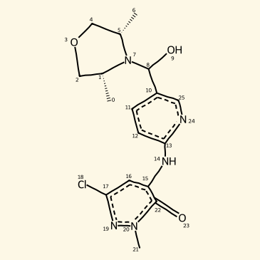 C[C@@H]1COC[C@H](C)N1C(O)c1ccc(Nc2cc(Cl)nn(C)c2=O)nc1